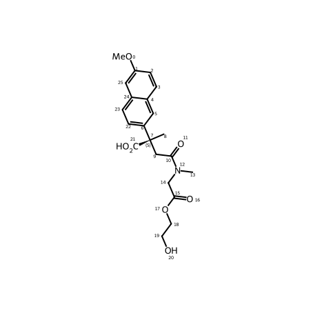 COc1ccc2cc([C@](C)(CC(=O)N(C)CC(=O)OCCO)C(=O)O)ccc2c1